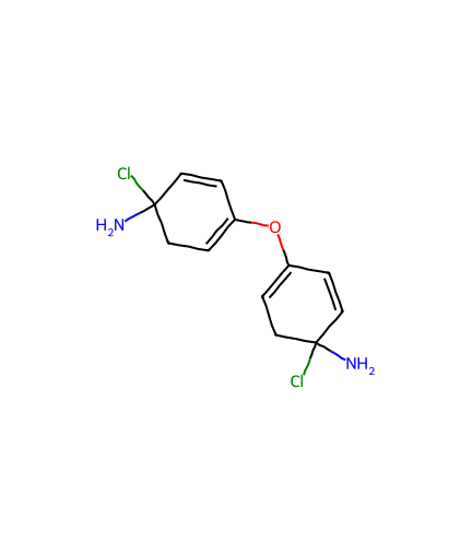 NC1(Cl)C=CC(OC2=CCC(N)(Cl)C=C2)=CC1